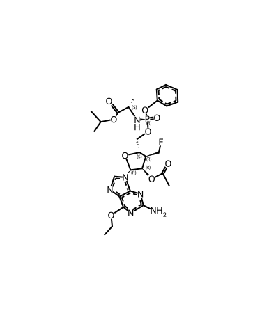 CCOc1nc(N)nc2c1ncn2[C@@H]1O[C@H](CO[P@](=O)(N[C@@H](C)C(=O)OC(C)C)Oc2ccccc2)[C@@H](CF)[C@H]1OC(C)=O